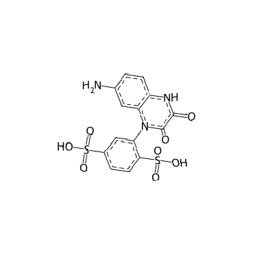 Nc1ccc2[nH]c(=O)c(=O)n(-c3cc(S(=O)(=O)O)ccc3S(=O)(=O)O)c2c1